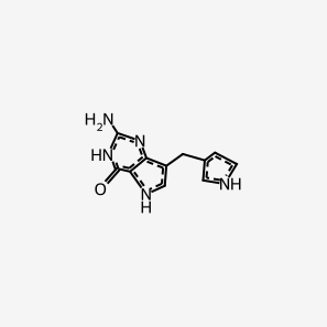 Nc1nc2c(Cc3cc[nH]c3)c[nH]c2c(=O)[nH]1